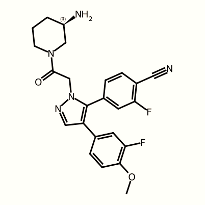 COc1ccc(-c2cnn(CC(=O)N3CCC[C@@H](N)C3)c2-c2ccc(C#N)c(F)c2)cc1F